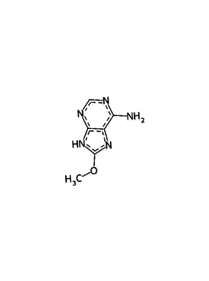 COc1nc2c(N)ncnc2[nH]1